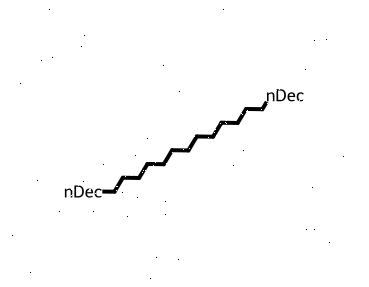 [CH2]CCCCCCCCCCCCCCCCCCCCCCCCCCCCCCC[CH2]